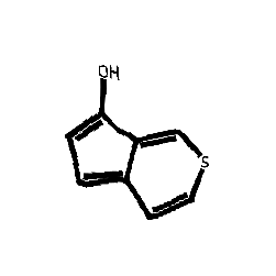 Oc1ccc2ccscc1-2